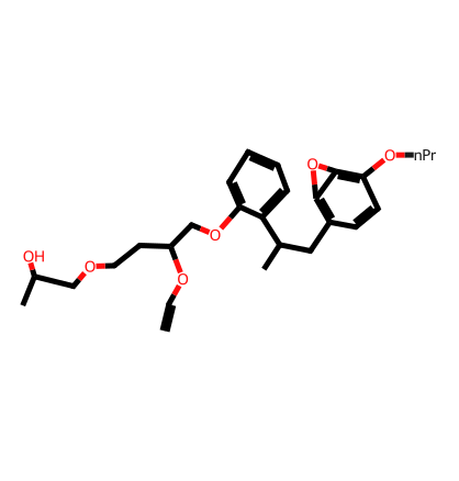 C=COC(CCOCC(C)O)COc1ccccc1C(C)Cc1ccc(OCCC)c2c1O2